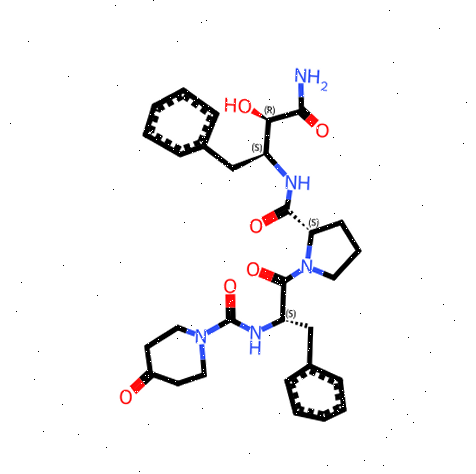 NC(=O)[C@H](O)[C@H](Cc1ccccc1)NC(=O)[C@@H]1CCCN1C(=O)[C@H](Cc1ccccc1)NC(=O)N1CCC(=O)CC1